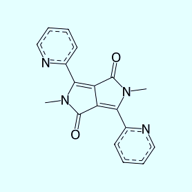 CN1C(=O)C2=C(c3ccccn3)N(C)C(=O)C2=C1c1ccccn1